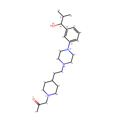 CC(=O)CN1CCC(CCN2CCN(c3cccc(C(O)C(C)C)c3)CC2)CC1